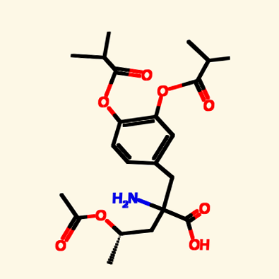 CC(=O)O[C@@H](C)CC(N)(Cc1ccc(OC(=O)C(C)C)c(OC(=O)C(C)C)c1)C(=O)O